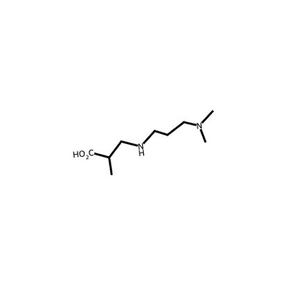 CC(CNCCCN(C)C)C(=O)O